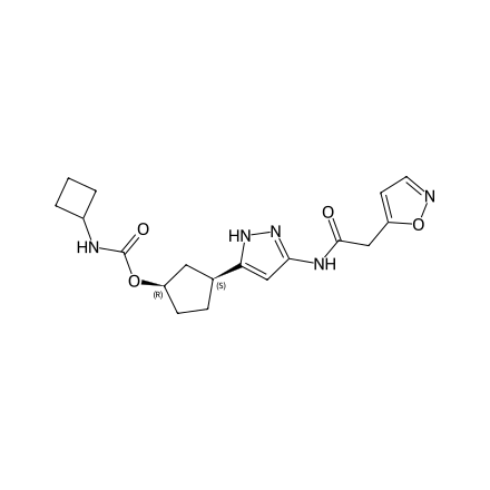 O=C(Cc1ccno1)Nc1cc([C@H]2CC[C@@H](OC(=O)NC3CCC3)C2)[nH]n1